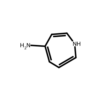 NC1=CC=CNC=C1